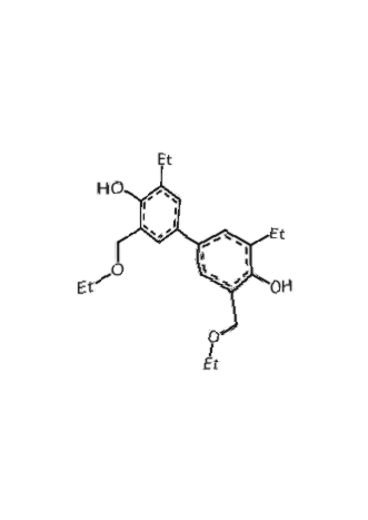 CCOCc1cc(-c2cc(CC)c(O)c(COCC)c2)cc(CC)c1O